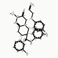 C=CCOc1ccc(I)cc1[C@H]1N2CC(=O)N(C)N=C2C[C@@H](c2cccc(Cl)c2)[C@]12C(=O)Nc1cc(Cl)ccc12